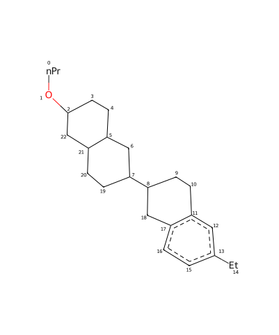 CCCOC1CCC2CC(C3CCc4cc(CC)ccc4C3)CCC2C1